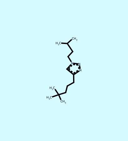 CC(C)CCn1cc(CCCC(C)(C)C)nn1